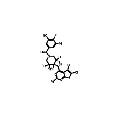 [2H]c1nc(N([2H])C2([2H])C([2H])([2H])CN(C([2H])c3cc([2H])c(F)c(C#N)c3)CC2([2H])[2H])c2c([2H])c(Cl)sc2n1